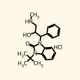 CNCC(O)C(c1ccccc1)n1c(=O)n(C(C)(C)C)c2ccccc21.Cl